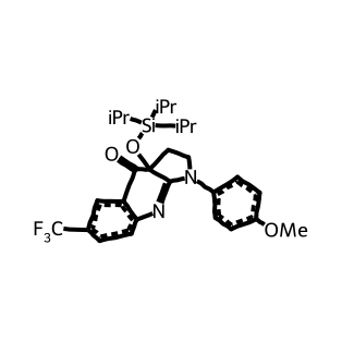 COc1ccc(N2CCC3(O[Si](C(C)C)(C(C)C)C(C)C)C(=O)c4cc(C(F)(F)F)ccc4N=C23)cc1